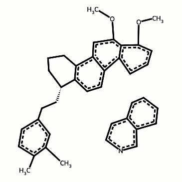 COc1cccc2c1c(OC)cc1c3c(ccc12)[C@H](CCc1ccc(C)c(C)c1)CCC3.c1ccc2cnccc2c1